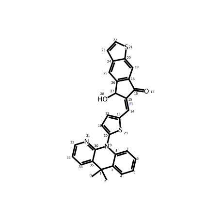 CC1(C)c2ccccc2N(c2ccc(/C=C3/C(=O)c4cc5sccc5cc4C3O)s2)c2ncccc21